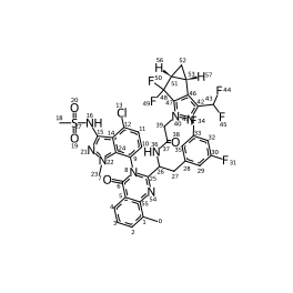 Cc1cccc2c(=O)n(-c3ccc(Cl)c4c(NS(C)(=O)=O)nn(C)c34)c(C(Cc3cc(F)cc(F)c3)NC(=O)Cn3nc(C(F)F)c4c3C(F)(F)[C@@H]3C[C@H]43)nc12